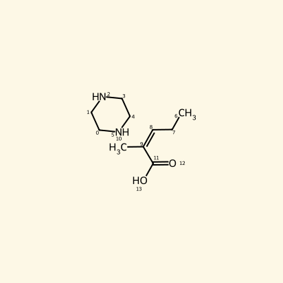 C1CNCCN1.CCC=C(C)C(=O)O